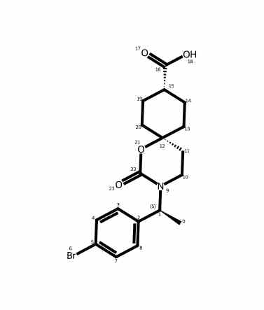 C[C@@H](c1ccc(Br)cc1)N1CC[C@]2(CC[C@@H](C(=O)O)CC2)OC1=O